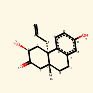 C=CC[C@@]12C[C@H](O)C(=O)C[C@H]1CCc1cc(O)ccc12